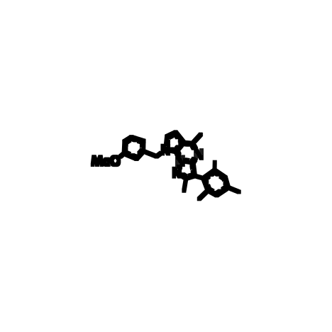 COc1cccc(Cn2ccc3c(C)nc4c(-c5c(C)cc(C)cc5C)c(C)nn4c32)c1